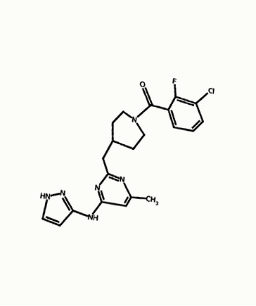 Cc1cc(Nc2cc[nH]n2)nc(CC2CCN(C(=O)c3cccc(Cl)c3F)CC2)n1